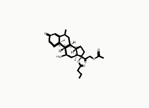 CCCC(=O)O[C@]1(C(=O)COC(C)=O)CC[C@H]2[C@@H]3CC(C)C4=CC(=O)CC[C@]4(C)[C@H]3C(O)C[C@@]21C